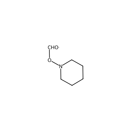 O=[C]ON1CCCCC1